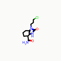 NC(=O)C1CCCc2c1[nH]c(=O)n2CCCCl